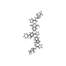 C=C(Nc1ccc([C@@H]2CC[C@@H](c3ccc4[nH]c([C@@H]5CCCN5C(=O)CNC(=O)OC(C)(C)C)nc4c3)N2c2ccc(N3CCCCC3)c(F)c2)cc1N)[C@@H]1CCCN1C(=O)CNC(=O)OC(C)(C)C